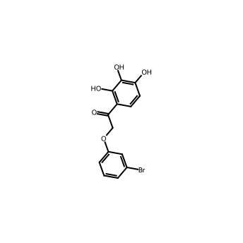 O=C(COc1cccc(Br)c1)c1ccc(O)c(O)c1O